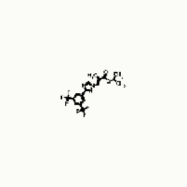 C/C(=C\n1cnc(-c2cc(C(F)(F)F)cc(C(F)(F)F)c2)n1)C(=O)OC(C)C